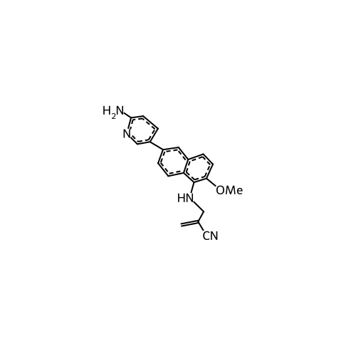 C=C(C#N)CNc1c(OC)ccc2cc(-c3ccc(N)nc3)ccc12